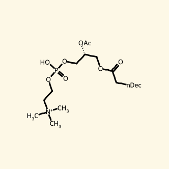 CCCCCCCCCCCC(=O)OC[C@H](COP(=O)(O)OCC[N+](C)(C)C)OC(C)=O